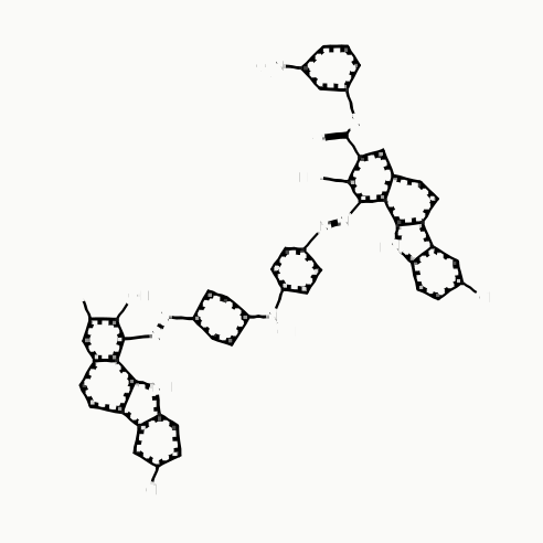 CN(c1ccc(N=Nc2c(O)c(C=O)cc3ccc4c5cc(Cl)ccc5[nH]c4c23)cc1)c1ccc(N=Nc2c(O)c(C(=O)Nc3cccc([N+](=O)[O-])c3)cc3ccc4c5cc(Cl)ccc5[nH]c4c23)cc1